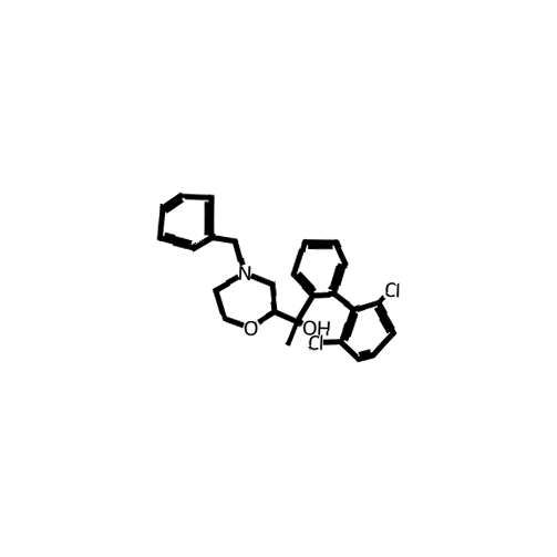 CC(O)(c1ccccc1-c1c(Cl)cccc1Cl)C1CN(Cc2ccccc2)CCO1